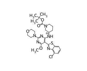 COc1nc(N2CCOCC2)nc(N[C@@H]2CCCN(C(=O)OC(C)(C)C)C2)c1-c1nc2c(Cl)cccc2s1